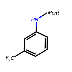 CCCCCNc1[c]ccc(C(F)(F)F)c1